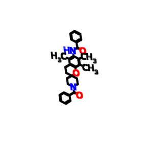 Cc1c(C)c2c(c(C)c1NC(=O)c1ccccc1)CCC1(CCN(C(=O)c3ccccc3)CC1)O2